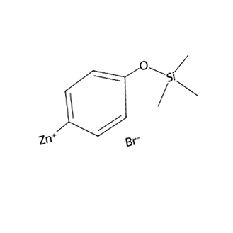 C[Si](C)(C)Oc1cc[c]([Zn+])cc1.[Br-]